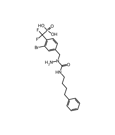 NN(Cc1ccc(C(F)(F)P(=O)(O)O)c(Br)c1)C(=O)NCCCCc1ccccc1